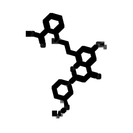 CO[C@H]1CCCN(c2cc(=O)c3cc(C)cc(CCNc4ccccc4C(=O)O)c3o2)C1